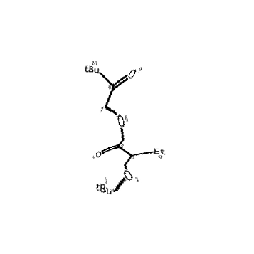 CCC(OC(C)(C)C)C(=O)OCC(=O)C(C)(C)C